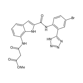 COC(=O)CC(=O)Nc1cccc2cc(C(=O)Nc3ccc(Br)cc3-c3nnn[nH]3)[nH]c12